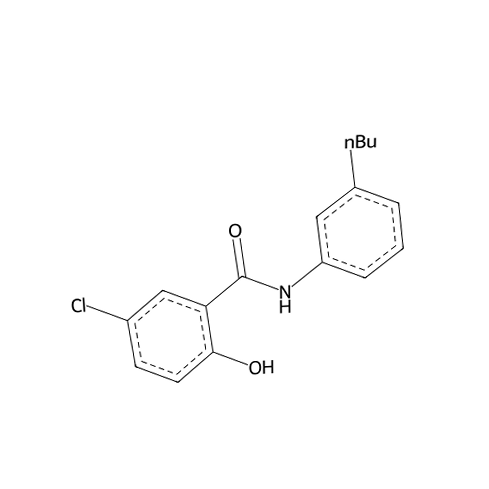 CCCCc1cccc(NC(=O)c2cc(Cl)ccc2O)c1